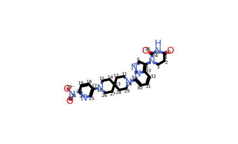 O=C1CCN(c2cnn3c(N4CCC5(CCN(c6ccc([N+](=O)[O-])nc6)CC5)CC4)cccc23)C(=O)N1